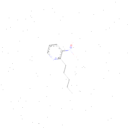 CCCCCc1ncccc1[N+](=O)[O-]